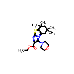 CCOC(=O)c1nc2sc3c(n2c1N1CCOCC1)CC(C)(C)CC3(C)C